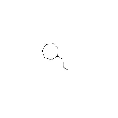 C[CH]SC1CCCCCC1